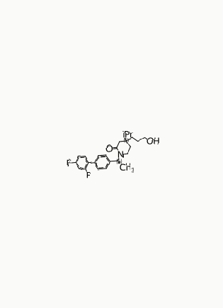 CC(C)[C@@]1(CCCO)CCN([C@@H](C)c2ccc(-c3ccc(F)cc3F)cc2)C(=O)C1